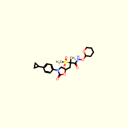 CC(CC1CN(c2ccc(C3CC3)cc2)C(=O)O1)(C(=O)NOC1CCCCO1)S(C)(=O)=O